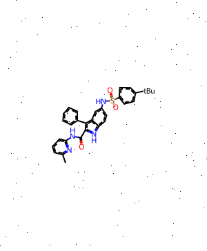 Cc1cccc(NC(=O)c2[nH]c3ccc(NS(=O)(=O)c4ccc(C(C)(C)C)cc4)cc3c2-c2ccccc2)n1